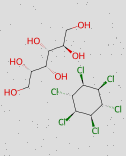 Cl[C@H]1[C@H](Cl)[C@@H](Cl)[C@@H](Cl)[C@H](Cl)[C@H]1Cl.OC[C@@H](O)[C@@H](O)[C@H](O)[C@@H](O)CO